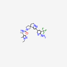 CCn1ncc(C(C)NC(=O)N2CCC3(CCn4nc(-c5cnc(N)c(C(F)(F)F)c5)cc43)C2)c1C